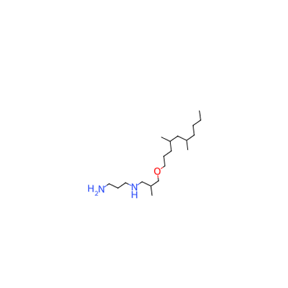 CCCCC(C)CC(C)CCCOCC(C)CNCCCN